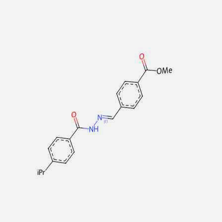 COC(=O)c1ccc(/C=N/NC(=O)c2ccc(C(C)C)cc2)cc1